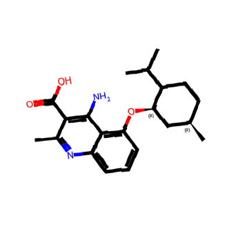 Cc1nc2cccc(O[C@@H]3C[C@H](C)CCC3C(C)C)c2c(N)c1C(=O)O